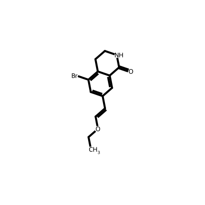 CCOC=Cc1cc(Br)c2c(c1)C(=O)NCC2